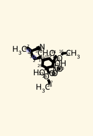 C=C(/C=C\C(C#N)=C/C)[C@H]1C[C@@](O)(C(=O)OCC)[C@H]([N+](=O)[O-])[C@@](O)(C(=O)OCC)C1